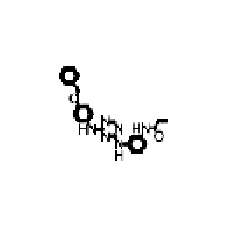 C=CC(=O)Nc1cccc(Nc2ncnc(Nc3ccc(OCc4ccccc4)cc3)n2)c1